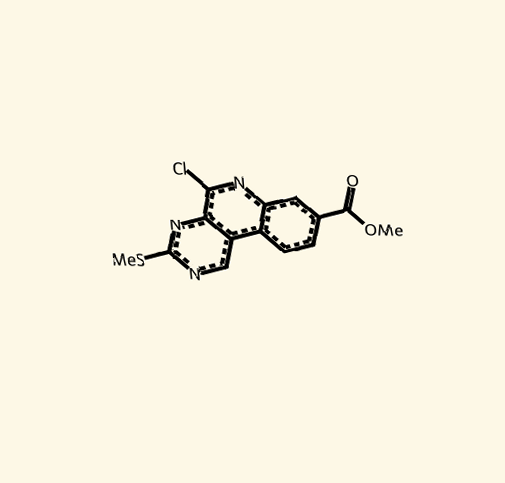 COC(=O)c1ccc2c(c1)nc(Cl)c1nc(SC)ncc12